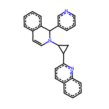 C1=CN(C2CC2c2ccc3ccccc3n2)C(c2cccnc2)c2ccccc21